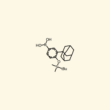 CC(C)(C)[Si](C)(C)Oc1ccc(B(O)O)cc1C12CC3CC(CC(C3)C1)C2